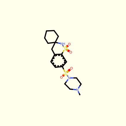 CN1CCN(S(=O)(=O)c2ccc3c(c2)S(=O)(=O)NC2(CCCCC2)C3)CC1